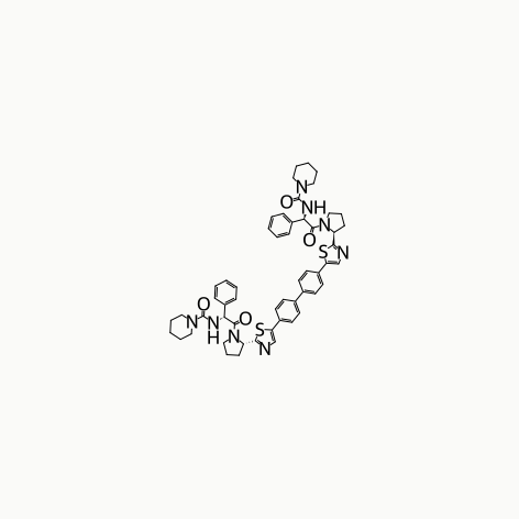 O=C(N[C@@H](C(=O)N1CCC[C@H]1c1ncc(-c2ccc(-c3ccc(-c4cnc([C@@H]5CCCN5C(=O)[C@H](NC(=O)N5CCCCC5)c5ccccc5)s4)cc3)cc2)s1)c1ccccc1)N1CCCCC1